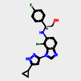 OC[C@H](Nc1ccc2ncn(-c3cc(C4CC4)[nH]n3)c2c1F)c1ccc(F)cc1